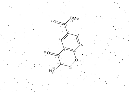 COC(=O)c1ccc2c(c1)C(=O)C(C)CO2